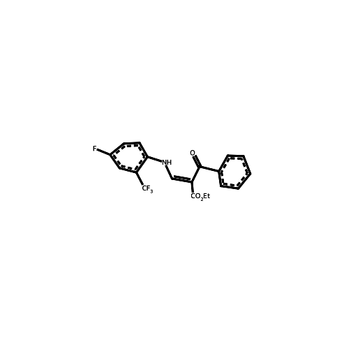 CCOC(=O)C(=CNc1ccc(F)cc1C(F)(F)F)C(=O)c1ccccc1